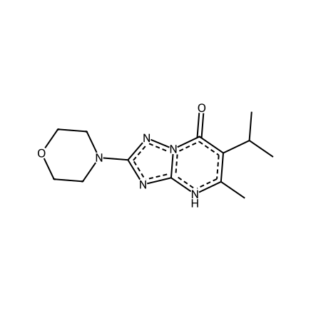 Cc1[nH]c2nc(N3CCOCC3)nn2c(=O)c1C(C)C